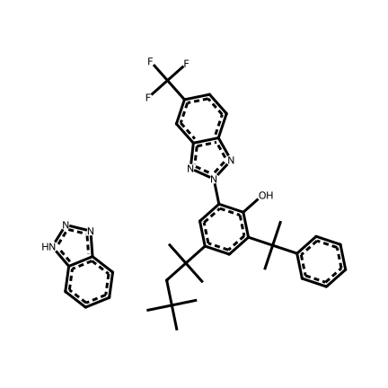 CC(C)(C)CC(C)(C)c1cc(-n2nc3ccc(C(F)(F)F)cc3n2)c(O)c(C(C)(C)c2ccccc2)c1.c1ccc2[nH]nnc2c1